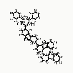 c1ccc(C2=NC(c3ccccc3)NC(c3ccc4oc5cc(-c6cccc7c6oc6cccc(-n8c9ccccc9c9ccccc98)c67)ccc5c4c3)N2)cc1